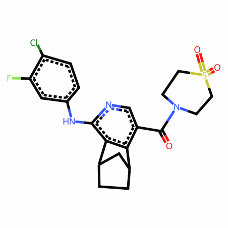 O=C(c1cnc(Nc2ccc(Cl)c(F)c2)c2c1C1CCC2C1)N1CCS(=O)(=O)CC1